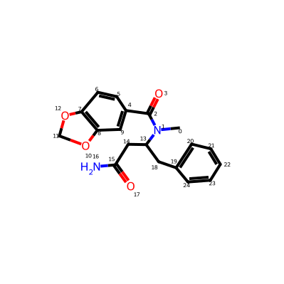 CN(C(=O)c1ccc2c(c1)OCO2)C(CC(N)=O)Cc1ccccc1